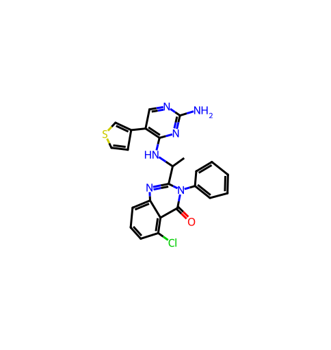 CC(Nc1nc(N)ncc1-c1ccsc1)c1nc2cccc(Cl)c2c(=O)n1-c1ccccc1